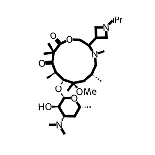 CO[C@]1(C)C[C@@H](C)CN(C)C(C2CN(C(C)C)C2)COC(=O)C(C)(C)C(=O)[C@H](C)[C@H]1O[C@@H]1O[C@H](C)C[C@H](N(C)C)[C@H]1O